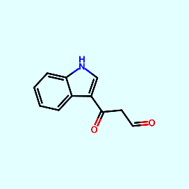 O=CCC(=O)c1c[nH]c2ccccc12